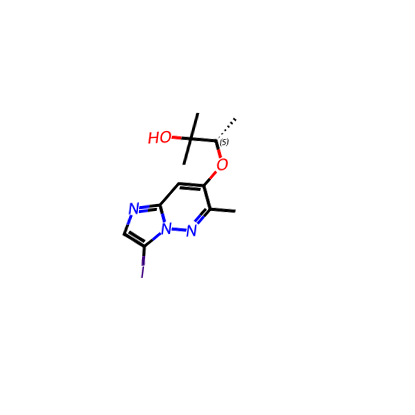 Cc1nn2c(I)cnc2cc1O[C@@H](C)C(C)(C)O